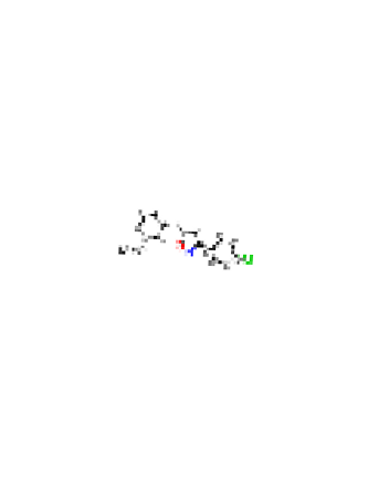 COc1cccc(CC2CC(c3ccc(Cl)cc3)=NO2)c1